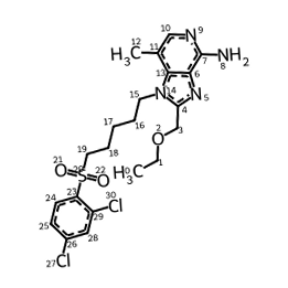 CCOCc1nc2c(N)ncc(C)c2n1CCCCCS(=O)(=O)c1ccc(Cl)cc1Cl